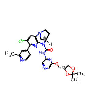 Cc1cc(-c2nc3c(cc2Cl)N2CC[C@@H](C2)N3C(=O)Nc2cncc(OC[C@@H]3COC(C)(C)O3)n2)ccn1